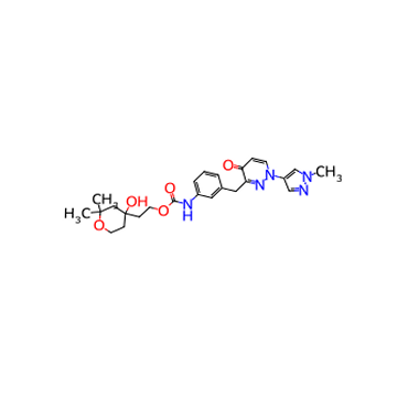 Cn1cc(-n2ccc(=O)c(Cc3cccc(NC(=O)OCCC4(O)CCOC(C)(C)C4)c3)n2)cn1